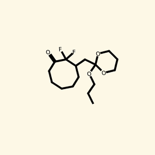 CCCOC1(CC2CCCCCC(=O)C2(F)F)OCCCO1